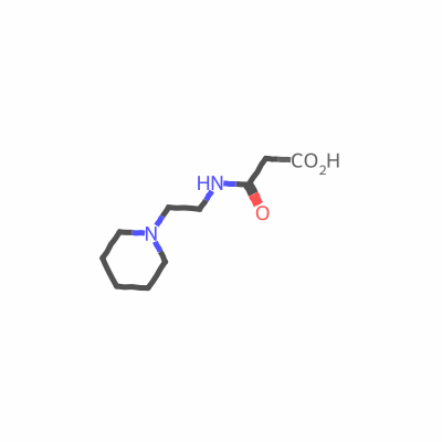 O=C(O)CC(=O)NCCN1CCCCC1